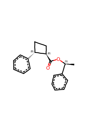 C[C@H](OC(=O)[C@@H]1CC[C@H]1c1ccccc1)c1ccccc1